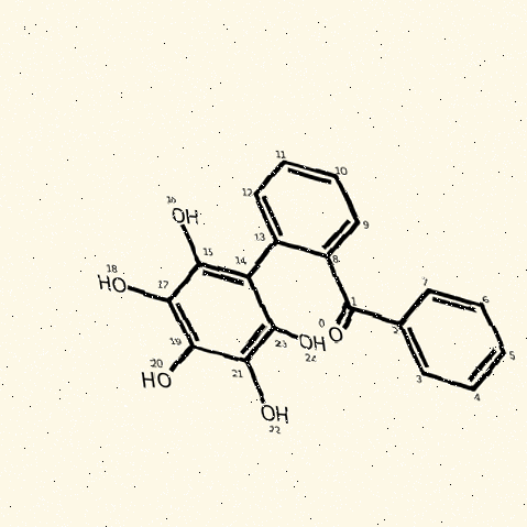 O=C(c1ccccc1)c1ccccc1-c1c(O)c(O)c(O)c(O)c1O